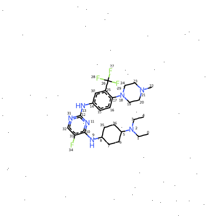 CCN(CC)C1CCC(Nc2nc(Nc3ccc(N4CCN(C)CC4)c(C(F)(F)F)c3)ncc2F)CC1